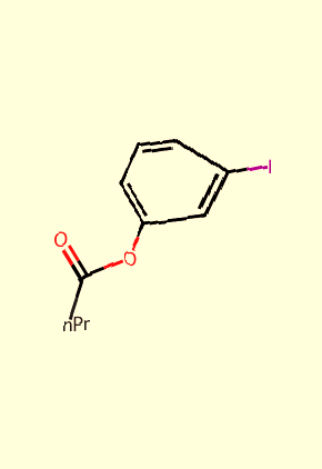 CCCC(=O)Oc1cccc(I)c1